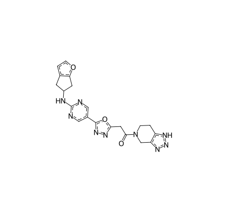 O=C(Cc1nnc(-c2cnc(NC3Cc4ccoc4C3)nc2)o1)N1CCc2[nH]nnc2C1